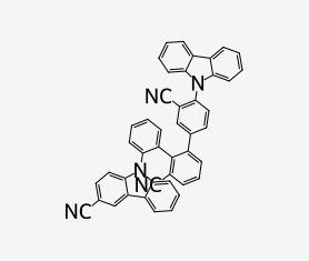 N#Cc1ccc2c(c1)c1ccccc1n2-c1ccccc1-c1c(C#N)cccc1-c1ccc(-n2c3ccccc3c3ccccc32)c(C#N)c1